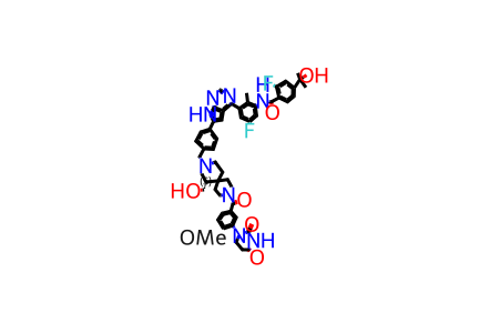 COc1ccc(C(=O)N2CCC3(CCN(Cc4ccc(-c5cc6c(-c7cc(F)cc(NC(=O)c8ccc(C(C)(C)O)cc8F)c7C)ncnc6[nH]5)cc4)C[C@H]3CO)CC2)cc1N1CCC(=O)NC1=O